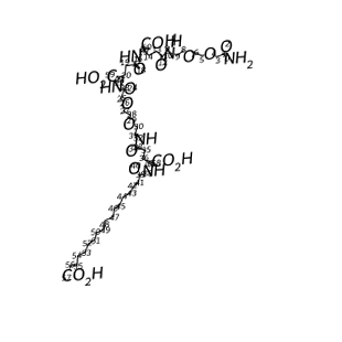 NC(=O)COCCOCCNC(=O)CC[C@H](NC(=O)CC[C@H](NC(=O)COCCOCCNC(=O)CC[C@H](NC(=O)CCCCCCCCCCCCCCCCC(=O)O)C(=O)O)C(=O)O)C(=O)O